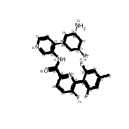 Cc1cc(F)c(-c2nc(C(=O)Nc3cnccc3[C@H]3C[C@H](N)C[C@@H](C(C)C)C3)ccc2F)c(F)c1